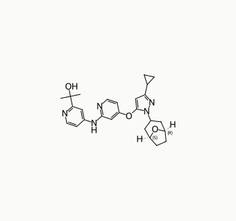 CC(C)(O)c1cc(Nc2cc(Oc3cc(C4CC4)nn3C3C[C@H]4CC[C@@H](C3)O4)ccn2)ccn1